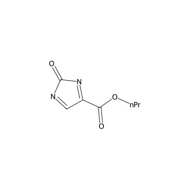 CCCOC(=O)C1=NC(=O)N=C1